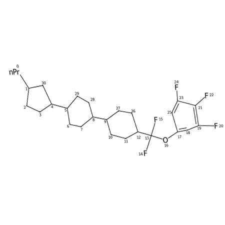 CCCC1CCC(C2CCC(C3CCC(C(F)(F)Oc4cc(F)c(F)c(F)c4)CC3)CC2)C1